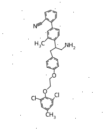 Cc1cc(Cl)c(OCCOc2ccc(CC(CN)c3ccc(-c4ccccc4C#N)cc3C)cc2)c(Cl)c1